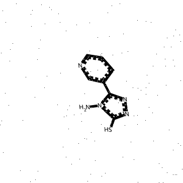 Nn1c(S)nnc1-c1cccnc1